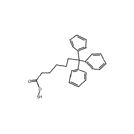 O=C(CCCCCC(c1ccccc1)(c1ccccc1)c1ccccc1)OS